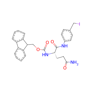 NC(=O)CC[C@H](NC(=O)OCC1c2ccccc2-c2ccccc21)C(=O)Nc1ccc(CI)cc1